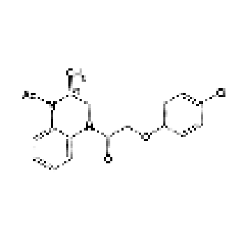 CC(=O)N1c2ccccc2N(C(=O)COc2ccc(Cl)cc2)C[C@@H]1C